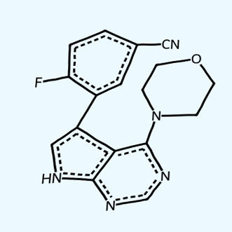 N#Cc1ccc(F)c(-c2c[nH]c3ncnc(N4CCOCC4)c23)c1